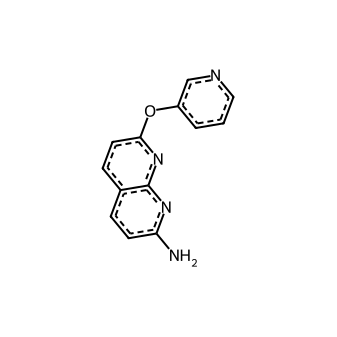 Nc1ccc2ccc(Oc3cccnc3)nc2n1